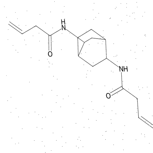 C=CCC(=O)NC1CC2CCC1CC2NC(=O)CC=C